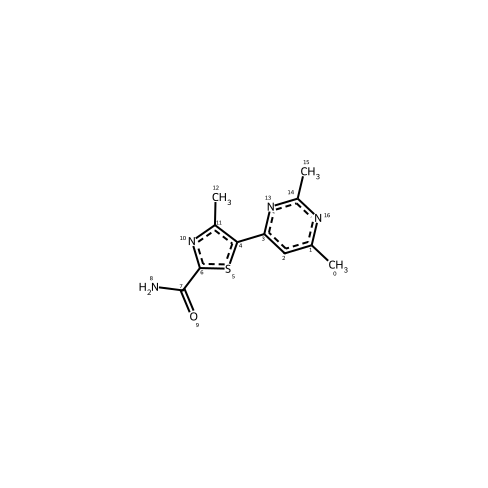 Cc1cc(-c2sc(C(N)=O)nc2C)nc(C)n1